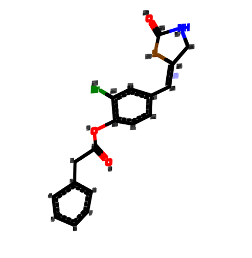 O=C(Cc1ccccc1)Oc1ccc(/C=C2/CNC(=O)S2)cc1Br